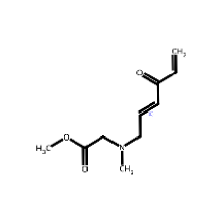 C=CC(=O)/C=C/CN(C)CC(=O)OC